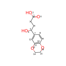 O=C(O)CCC(O)c1ccc2c(c1)OCCO2